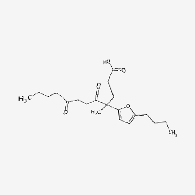 CCCCC(=O)CCC(=O)C(C)(CCC(=O)O)c1ccc(CCCC)o1